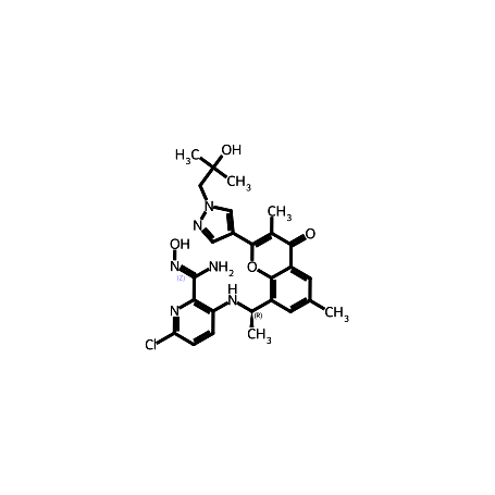 Cc1cc([C@@H](C)Nc2ccc(Cl)nc2/C(N)=N/O)c2oc(-c3cnn(CC(C)(C)O)c3)c(C)c(=O)c2c1